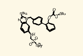 CCCCc1nc2ccc(NCS(=O)(=O)CCC)cc2n1Cc1ccc(-c2ccccc2OC(=O)OC(C)(C)C)cc1